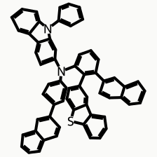 c1ccc(-n2c3ccccc3c3ccc(N(c4ccc(-c5ccc6ccccc6c5)cc4)c4cccc(-c5ccc6ccccc6c5)c4-c4ccc5sc6ccccc6c5c4)cc32)cc1